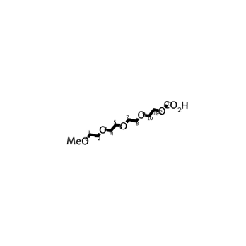 COCCOCCOCCOCCOC(=O)O